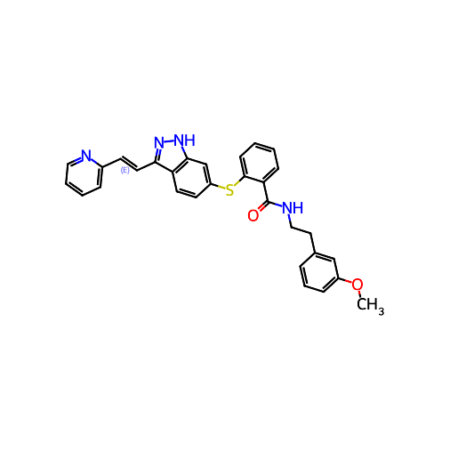 COc1cccc(CCNC(=O)c2ccccc2Sc2ccc3c(/C=C/c4ccccn4)n[nH]c3c2)c1